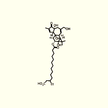 CCC(CCCCCCCCCCC(=O)O[C@@H]1[C@@H](C)[C@@]2(O)[C@@H](C=C(CO)C[C@]3(O)C(=O)C(C)=C[C@@H]23)[C@H]2C(C)(C)[C@]12O)CC(=O)O